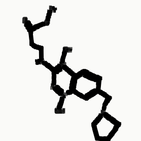 CC(C)OC(=O)CCNc1n[n+](O)c2cc(CN3CCCC3)ccc2[n+]1O